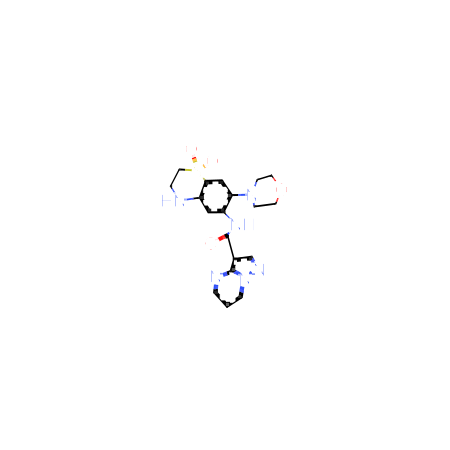 O=C(Nc1cc2c(cc1N1CCOCC1)S(=O)(=O)CCN2)c1cnn2cccnc12